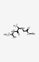 CC(NCC(=O)OC(C)(C)C)C(=O)N[C@H](C(=O)O)C(C)C